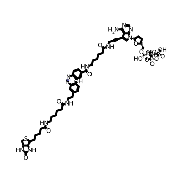 Nc1ncnc2c1c(C#CCNC(=O)CCCCCNC(=O)c1ccc(/N=N\c3cc(CCNC(=O)CCCCCNC(=O)CCCCC4SCC5NC(=O)NC54)ccc3O)cc1)cn2[C@H]1CC[C@@H](COP(=O)(O)OP(=O)(O)OP(=O)(O)O)O1